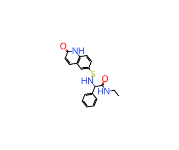 CCNC(=O)[C@H](NSc1ccc2[nH]c(=O)ccc2c1)c1ccccc1